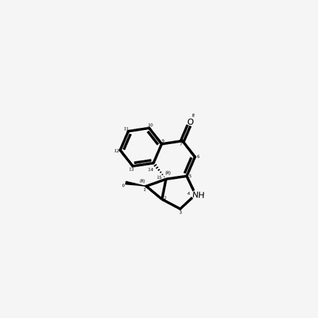 C[C@@H]1C2CNC3=CC(=O)c4ccccc4[C@]321